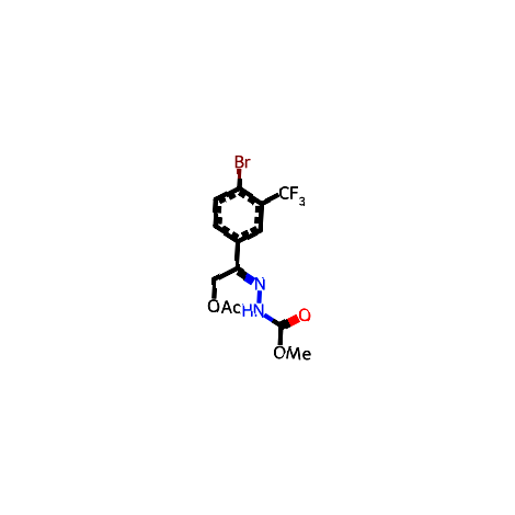 COC(=O)NN=C(COC(C)=O)c1ccc(Br)c(C(F)(F)F)c1